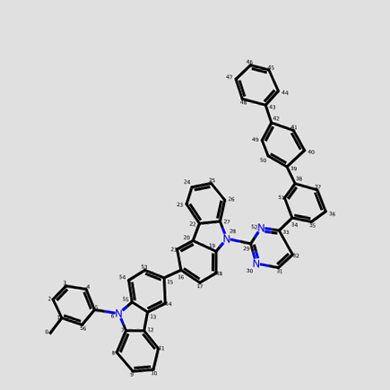 Cc1cccc(-n2c3ccccc3c3cc(-c4ccc5c(c4)c4ccccc4n5-c4nccc(-c5cccc(-c6ccc(-c7ccccc7)cc6)c5)n4)ccc32)c1